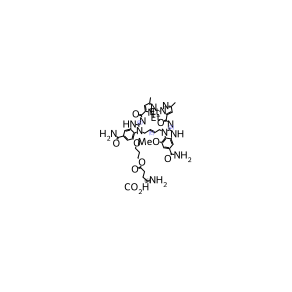 CCn1nc(C)cc1C(=O)/N=c1/[nH]c2cc(C(N)=O)cc(OC)c2n1C/C=C/Cn1/c(=N/C(=O)c2cc(C)nn2CC)[nH]c2cc(C(N)=O)cc(OCCCOC(=O)CC[C@H](N)C(=O)O)c21